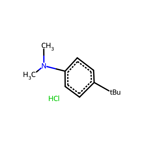 CN(C)c1ccc(C(C)(C)C)cc1.Cl